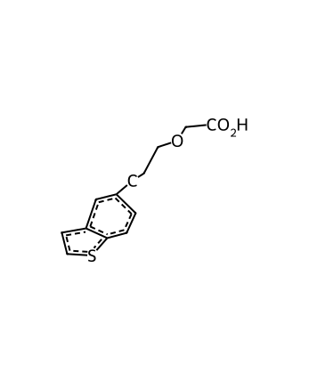 O=C(O)COCCCc1ccc2sccc2c1